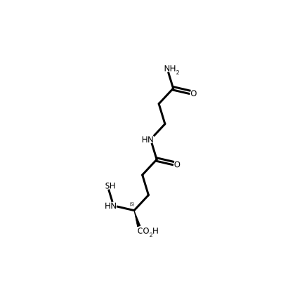 NC(=O)CCNC(=O)CC[C@H](NS)C(=O)O